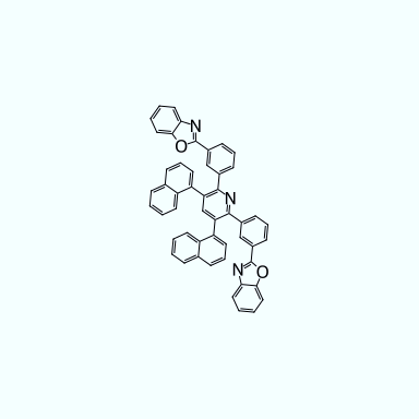 c1cc(-c2nc3ccccc3o2)cc(-c2nc(-c3cccc(-c4nc5ccccc5o4)c3)c(-c3cccc4ccccc34)cc2-c2cccc3ccccc23)c1